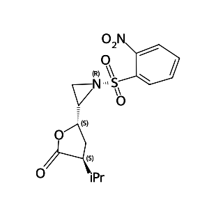 CC(C)[C@@H]1C[C@@H](C2C[N@]2S(=O)(=O)c2ccccc2[N+](=O)[O-])OC1=O